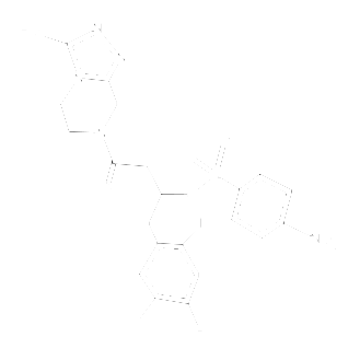 O=C(CC(Cc1cc(F)c(F)cc1F)OS(=O)(=O)c1ccc([N+](=O)[O-])cc1)N1CCn2c(nnc2C(F)(F)F)C1